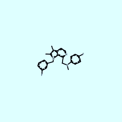 Cc1c(C)n(Cc2cccc(F)c2)c2c(CN(C)c3ccc(F)cc3)nccc12